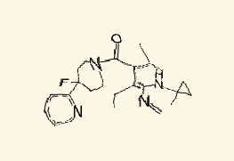 C=N/C(NC1(C)CC1)=C(\CC)C(C(=O)N1CCC(F)(c2ccccn2)CC1)=C(C)C